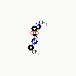 Cc1ccc2c3c(ccc2n1)OC[C@H](CN1CCN(c2cccc(C(F)(F)F)c2)CC1)O3